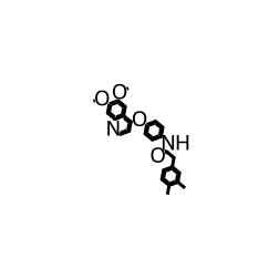 COc1cc2nccc(Oc3ccc(NC(=O)Cc4ccc(C)c(C)c4)cc3)c2cc1OC